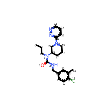 CCCN(C(=O)NCc1ccc(Cl)c(C)c1)[C@@H]1CCCN(c2cccnn2)C1